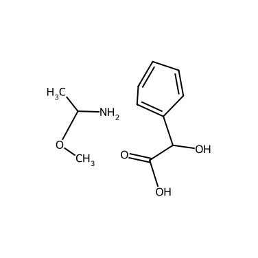 COC(C)N.O=C(O)C(O)c1ccccc1